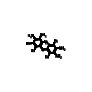 CCc1c(N)c(N)c(CC)c(Oc2c(CC)c(N)c(N)c(CC)c2CC)c1CC